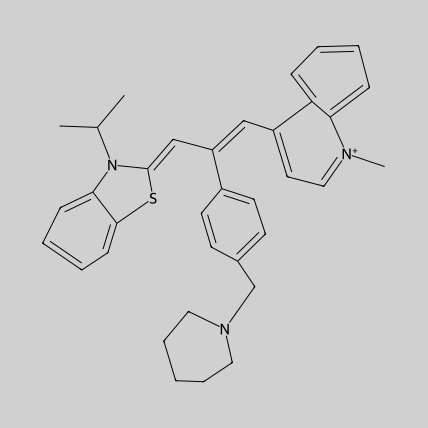 CC(C)N1/C(=C/C(=C/c2cc[n+](C)c3ccccc23)c2ccc(CN3CCCCC3)cc2)Sc2ccccc21